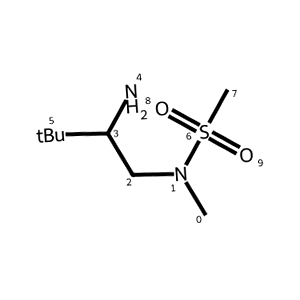 CN(CC(N)C(C)(C)C)S(C)(=O)=O